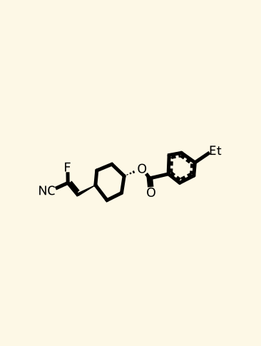 CCc1ccc(C(=O)O[C@H]2CC[C@H](/C=C(\F)C#N)CC2)cc1